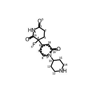 O=C1CCC(F)(c2ccn(C3CCNCC3)c(=O)c2)C(=O)N1